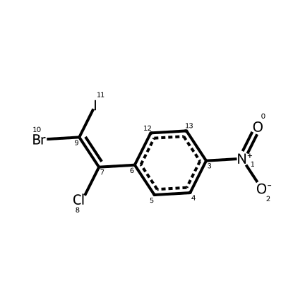 O=[N+]([O-])c1ccc(C(Cl)=C(Br)I)cc1